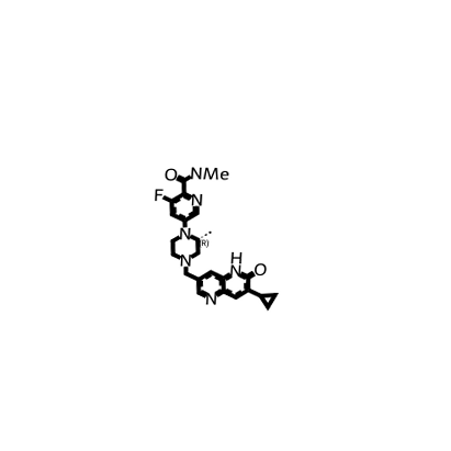 CNC(=O)c1ncc(N2CCN(Cc3cnc4cc(C5CC5)c(=O)[nH]c4c3)C[C@H]2C)cc1F